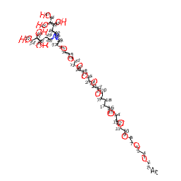 CC(=O)CCOCCOCCOCCOCCOCCCCCOCCOCCOCCOCCOCCOCCN(CC[C@@H](O)[C@@H](O)CO)CC[C@@H](O)[C@@H](O)CO